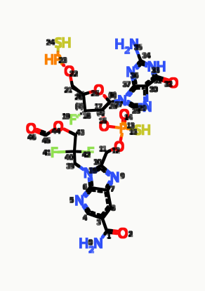 NC(=O)c1cnc2c(c1)nc(COP(=O)(S)O[C@@H]1[C@H](F)[C@@H](COPS)O[C@H]1n1cnc3c(=O)[nH]c(N)nc31)n2CC(F)(F)COC=O